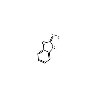 C=C1Oc2ccccc2O1